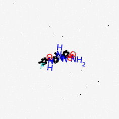 Cc1ccc(C(=O)Nc2cccc(C(C)Nc3ncnc4c(OC(N)=O)cccc34)c2)cc1F